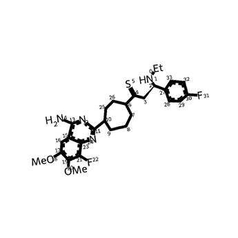 CCN[C@H](CC(=S)C1CCCC(c2nc(N)c3cc(OC)c(OC)c(F)c3n2)CC1)c1ccc(F)cc1